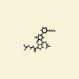 CNc1cc(-c2c[nH]c(=O)c(N(CC3CC3)[C@H]3CCN(C(=O)C=CCN(C)C)C3)c2)ccn1